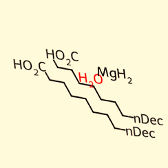 CCCCCCCCCCCCCCCCCC(=O)O.CCCCCCCCCCCCCCCCCC(=O)O.O.[MgH2]